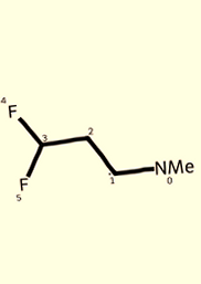 CN[CH]CC(F)F